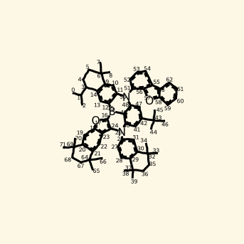 CC(C)C1CCC(C)(C)c2cc3c(cc21)B1c2oc4cc5c(cc4c2N(c2ccc4c(c2)C(C)(C)CCC4(C)C)c2cc(C(C)(C)C)cc(c21)N3c1cccc2c1oc1ccccc12)C(C)(C)CCC5(C)C